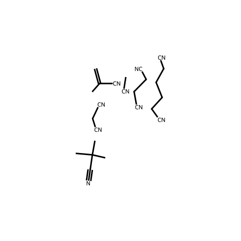 C=C(C)C#N.CC#N.CC(C)(C)C#N.N#CCC#N.N#CCCC#N.N#CCCCCC#N